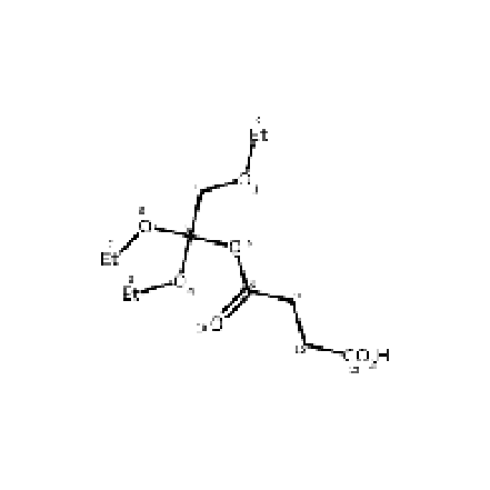 CCOCC(OCC)(OCC)OC(=O)CCC(=O)O